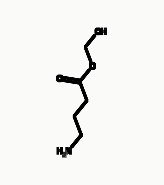 NCCCC(=O)OCO